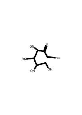 O=NCC(=O)C(N=O)C(N=O)C(CO)N=O